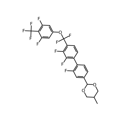 CC1COC(c2ccc(-c3ccc(C(F)(F)Oc4cc(F)c(C(F)(F)F)c(F)c4)c(F)c3F)c(F)c2)OC1